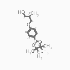 CC(CO)COc1ccc(B2OC(C)(C)C(C)(C)O2)cc1